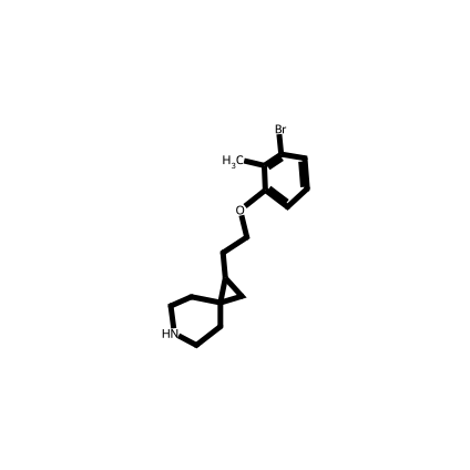 Cc1c(Br)cccc1OCCC1CC12CCNCC2